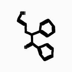 O=C(c1ccccc1)C(CC=CO)c1ccccc1